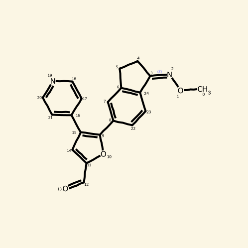 CO/N=C1/CCc2cc(-c3oc(C=O)cc3-c3ccncc3)ccc21